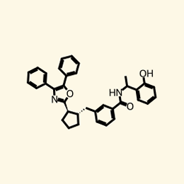 CC(NC(=O)c1cccc(C[C@@H]2CCC[C@H]2c2nc(-c3ccccc3)c(-c3ccccc3)o2)c1)c1ccccc1O